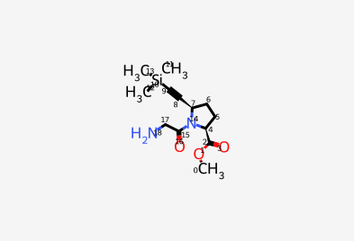 COC(=O)[C@@H]1CC[C@H](C#C[Si](C)(C)C)N1C(=O)CN